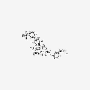 COc1cccc(CCN2CCC3(CC2)OC(=O)C(C)=C3C(=O)N2CCN(c3cccc(C(F)(F)F)c3)CC2)c1